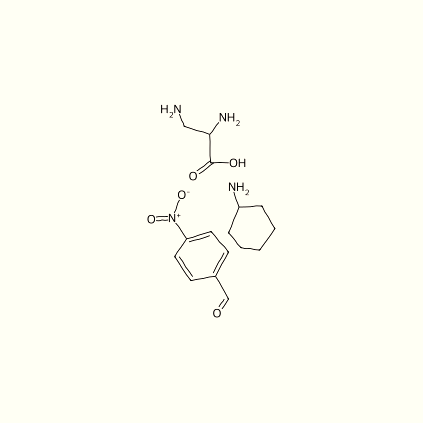 NC1CCCCC1.NCC(N)C(=O)O.O=Cc1ccc([N+](=O)[O-])cc1